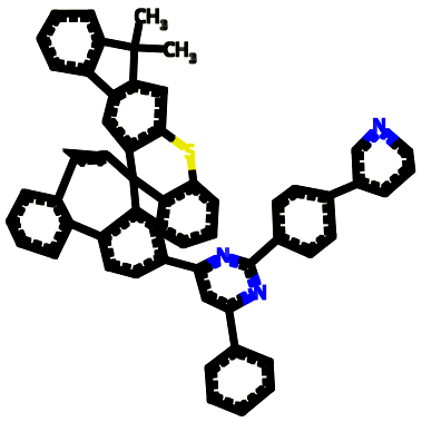 CC1(C)c2ccccc2-c2cc3c(cc21)Sc1ccccc1C31c2ccccc2-c2ccccc2-c2ccc(-c3cc(-c4ccccc4)nc(-c4ccc(-c5cccnc5)cc4)n3)cc21